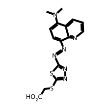 CN(C)c1ccc(/N=N/c2nnc(SCC(=O)O)s2)c2ncccc12